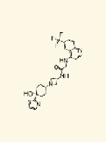 O=C(CNc1ccnc2ccc(C(F)(F)F)cc12)NC1CN([C@H]2CC[C@@](O)(c3nccs3)CC2)C1